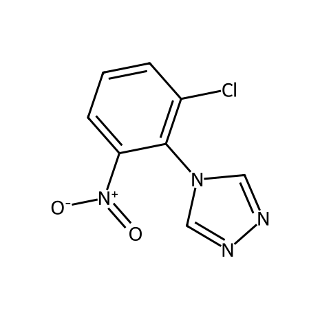 O=[N+]([O-])c1cccc(Cl)c1-n1cnnc1